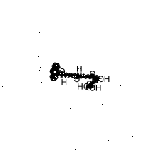 O=C(CCCCCNC(=O)OC1Cc2ccccc2C#Cc2ccccc21)NCCCCCC(=O)N1C[C@H](O)C[C@H]1COP(=O)(O)OO